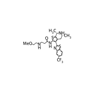 COCCNCCC(=O)Nc1sc2c(c1-c1nc3cc(C(F)(F)F)ccc3s1)C[C@@H](C)N[C@H]2C